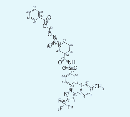 Cc1ccc(-c2cc(C(F)(F)F)nn2-c2ccc(S(=O)(=O)NC(=O)C3CCCN(/[N+]([O-])=N/OCOC(=O)c4ccccc4)C3)cc2)cc1